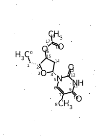 CC[C@H]1O[C@@H](n2cc(C)c(=O)[nH]c2=O)CC1OC(C)=O